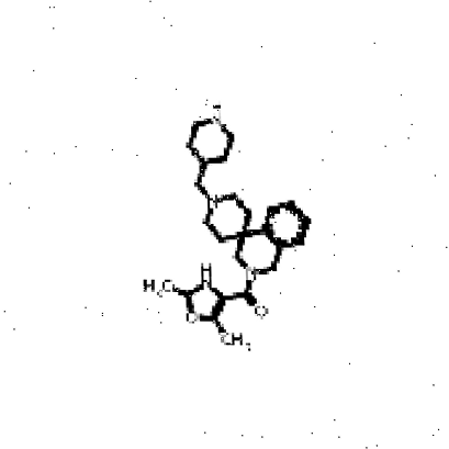 CC1=C(C(=O)N2Cc3ccccc3C3(CCN(CC4CCNCC4)CC3)C2)NC(C)O1